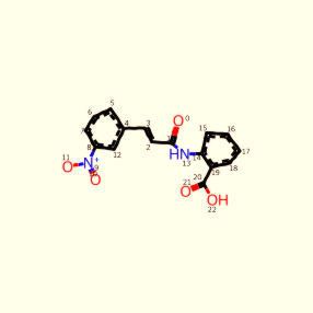 O=C(/C=C/c1cccc([N+](=O)[O-])c1)Nc1ccccc1C(=O)O